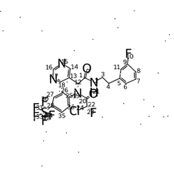 O=C(NCCc1cccc(F)c1)[C@@H](c1cncnc1)N(C(=O)[C@H](F)Cl)c1ccc(S(F)(F)(F)(F)F)cc1